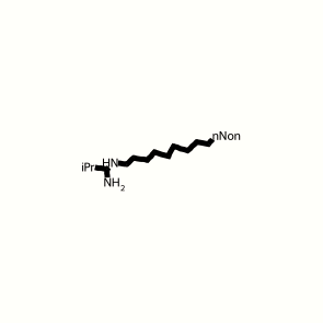 CCCCCCCCCCCCCCCCCCNC(N)C(C)C